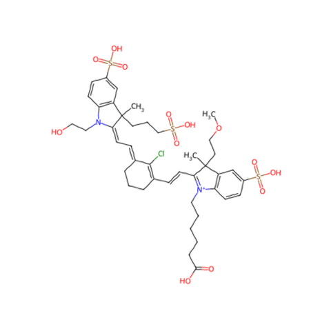 COCCC1(C)C(/C=C/C2=C(Cl)C(=C/C=C3/N(CCO)c4ccc(S(=O)(=O)O)cc4C3(C)CCCS(=O)(=O)O)/CCC2)=[N+](CCCCCC(=O)O)c2ccc(S(=O)(=O)O)cc21